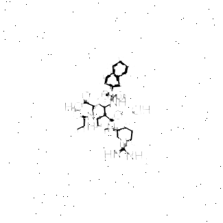 CCC(=O)N[C@@H](CC(NS(=O)(=O)c1ccc2ccccc2c1)C(CC)C(=O)N(C)[C@H]1CCCN(C(=N)N)C1)C(=O)O.Cl